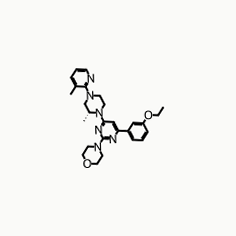 CCOc1cccc(-c2cc(N3CCN(c4ncccc4C)C[C@H]3C)nc(N3CCOCC3)n2)c1